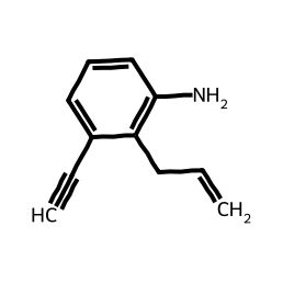 C#Cc1cccc(N)c1CC=C